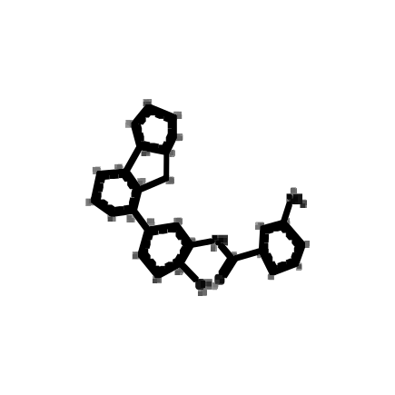 Nc1cccc(C(=O)Nc2cc(-c3cccc4c3Cc3ccccc3-4)ccc2O)c1